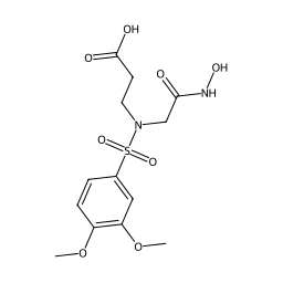 COc1ccc(S(=O)(=O)N(CCC(=O)O)CC(=O)NO)cc1OC